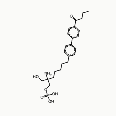 CCCC(=O)c1ccc(-c2ccc(CCCCCC(N)(CO)COP(=O)(O)O)cc2)cc1